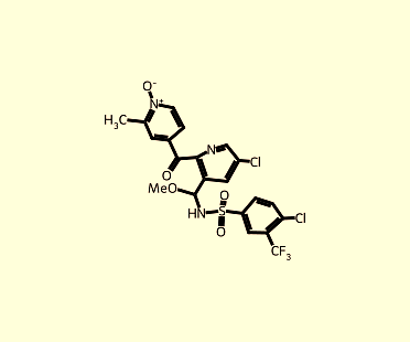 COC(NS(=O)(=O)c1ccc(Cl)c(C(F)(F)F)c1)c1cc(Cl)cnc1C(=O)c1cc[n+]([O-])c(C)c1